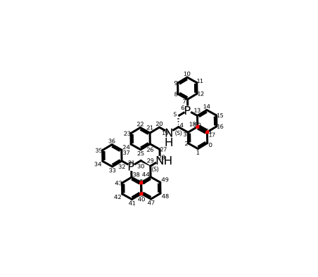 c1ccc([C@@H](CP(c2ccccc2)c2ccccc2)NCc2ccccc2CN[C@H](CP(c2ccccc2)c2ccccc2)c2ccccc2)cc1